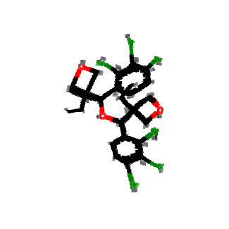 CCC1(C(OC(c2ccc(Br)c(Br)c2Br)C2(CC)COC2)c2ccc(Br)c(Br)c2Br)COC1